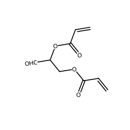 C=CC(=O)OCC(C=O)OC(=O)C=C